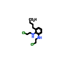 O=C(O)CCCc1cccc(NCCCl)c1NCCCl